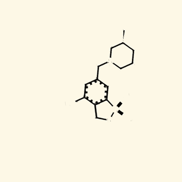 C[C@H]1CCCN(Cc2cc(C(F)(F)F)c3c(c2)S(=O)(=O)NC3)C1